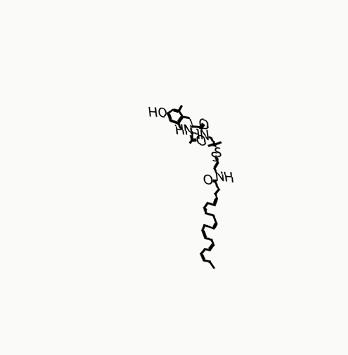 CC/C=C\C/C=C\C/C=C\C/C=C\C/C=C\C/C=C\CCC(=O)NCCSSC(C)(C)CNC(=O)[C@H](Cc1c(C)cc(O)cc1C)NC(C)=O